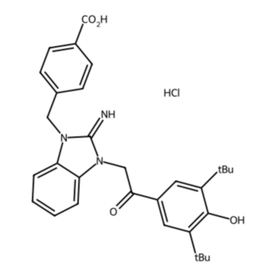 CC(C)(C)c1cc(C(=O)Cn2c(=N)n(Cc3ccc(C(=O)O)cc3)c3ccccc32)cc(C(C)(C)C)c1O.Cl